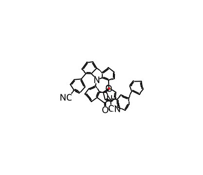 N#Cc1ccc(-c2cccc3c4cccc(-c5ccc(C#N)cc5)c4n(-c4cccc5c4C(=O)N(c4cccc(-c6ccccc6)c4)C5=O)c23)cc1